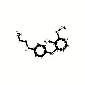 COc1ncnc(Oc2ccc(OCCO)cc2)c1N